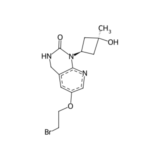 C[C@]1(O)C[C@@H](N2C(=O)NCc3cc(OCCBr)cnc32)C1